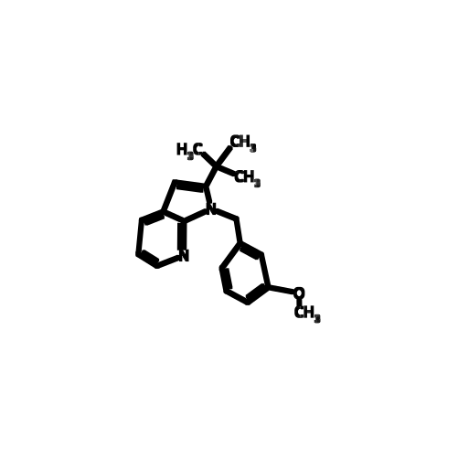 COc1cccc(Cn2c(C(C)(C)C)cc3cccnc32)c1